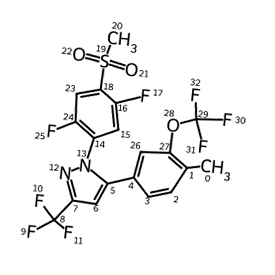 Cc1ccc(-c2cc(C(F)(F)F)nn2-c2cc(F)c(S(C)(=O)=O)cc2F)cc1OC(F)(F)F